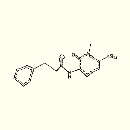 CCCCc1ccc(NC(=O)CCc2ccccc2)c(=O)n1C